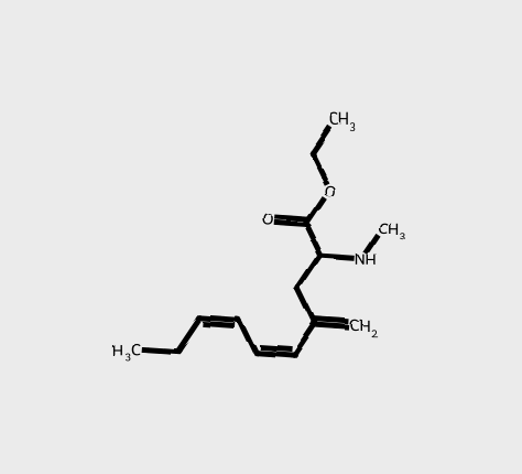 C=C(/C=C\C=C/CC)CC(NC)C(=O)OCC